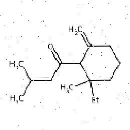 C=C1CCCC(C)(CC)C1C(=O)C=C(C)C